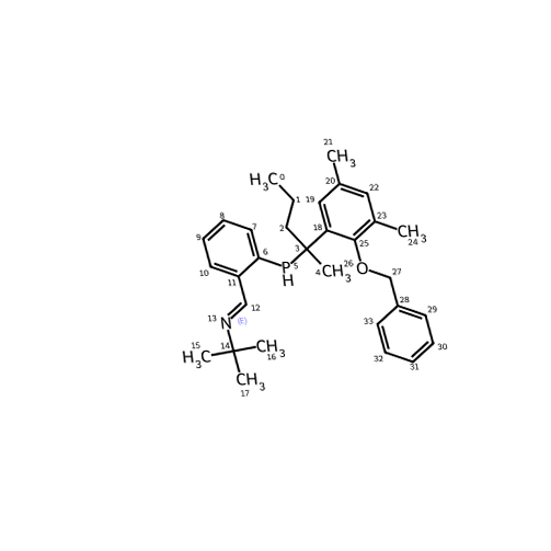 CCCC(C)(Pc1ccccc1/C=N/C(C)(C)C)c1cc(C)cc(C)c1OCc1ccccc1